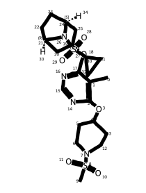 Cc1c(OC2CCN(S(C)(=O)=O)CC2)ncnc1O[C@@H]1C[C@H]2CC[C@@H](C1)N2S(=O)(=O)C1CC1